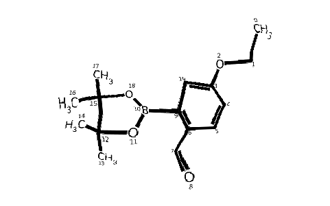 CCOc1ccc(C=O)c(B2OC(C)(C)C(C)(C)O2)c1